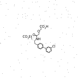 CCOC(=O)C[C@@H](Cc1ccc(-c2cccc(Cl)c2)cc1)NC(=O)COCC(=O)O